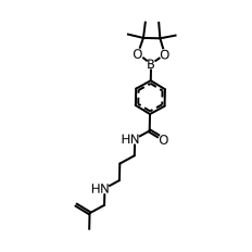 C=C(C)CNCCCNC(=O)c1ccc(B2OC(C)(C)C(C)(C)O2)cc1